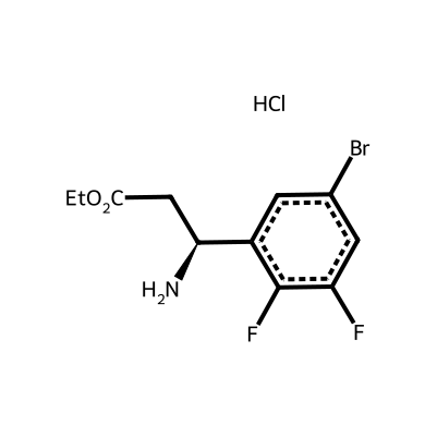 CCOC(=O)C[C@H](N)c1cc(Br)cc(F)c1F.Cl